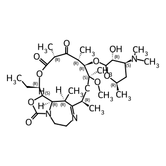 CC[C@H]1OC(=O)[C@H](C)C(=O)[C@H](C)[C@@H](OC2O[C@H](C)C[C@H](N(C)C)[C@H]2O)[C@@](C)(OC)C[C@@H](C)C2=NCCN3C(=O)O[C@H]1[C@H]3[C@H]2C